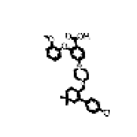 COc1ccccc1Oc1cc(N2CCN(CC3=C(c4ccc(Cl)cc4)CC(C)(C)CC3)CC2)ccc1C(=O)O